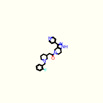 O=C(CC1CCCN(Cc2ccccc2F)C1)N1CCc2[nH]nc(-c3ccncc3)c2C1